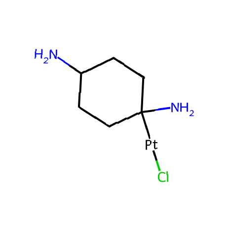 NC1CC[C](N)([Pt][Cl])CC1